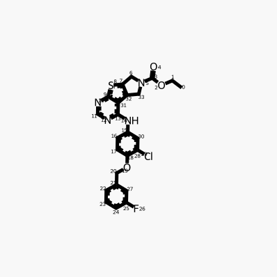 CCOC(=O)N1Cc2sc3ncnc(Nc4ccc(OCc5cccc(F)c5)c(Cl)c4)c3c2C1